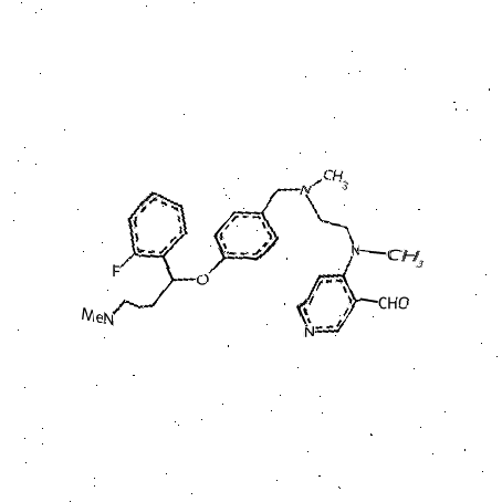 CNCCC(Oc1ccc(CN(C)CCN(C)c2ccncc2C=O)cc1)c1ccccc1F